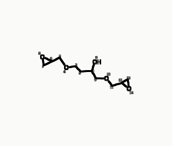 OC(CCOCC1CO1)COCC1CO1